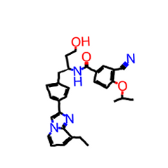 CCc1cccn2cc(-c3ccc(C[C@@H](CCO)NC(=O)c4ccc(OC(C)C)c(C#N)c4)cc3)nc12